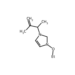 C=C(C)C(C)N1C=CN(OCC)C1